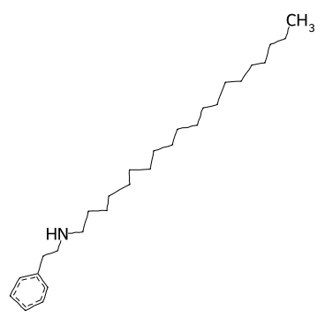 CCCCCCCCCCCCCCCCCCCCNCCc1ccccc1